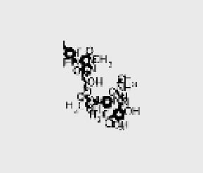 CCNC(=O)c1nnc(-c2cc(C(C)C)c(O)cc2O)n1-c1ccc(C(=O)NC(C(=O)OCC(O)Cn2cnc3c(c(Nc4ccc(I)cc4F)c(F)c(=O)n3C)c2=O)C(C)C)cc1